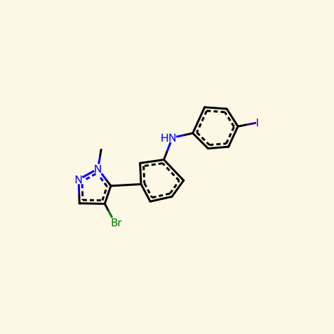 Cn1ncc(Br)c1-c1cccc(Nc2ccc(I)cc2)c1